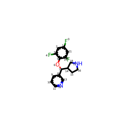 Fc1cc(F)c(O[C@H](c2cccnc2)C2CCNC2)c(F)c1